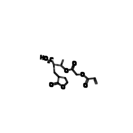 C=CC(=O)OCC(=O)OC(C)C(CC1CCOC1=O)C(=O)O